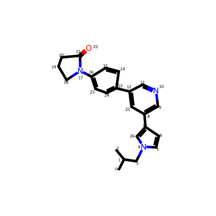 CC(C)Cn1ccc(-c2cncc(-c3ccc(N4CCCC4=O)cc3)c2)c1